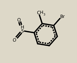 Cc1c(Br)cccc1[SH](=O)=O